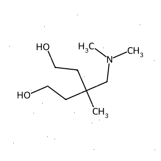 CN(C)CC(C)(CCO)CCO